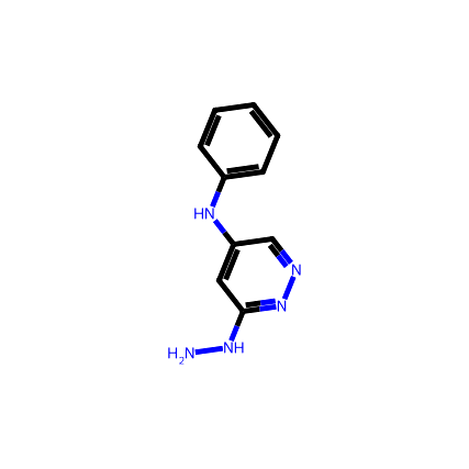 NNc1cc(Nc2ccccc2)cnn1